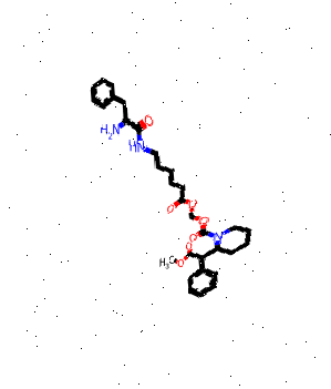 COC(=O)C(c1ccccc1)C1CCCCN1C(=O)OCOC(=O)CCCCCNC(=O)C(N)Cc1ccccc1